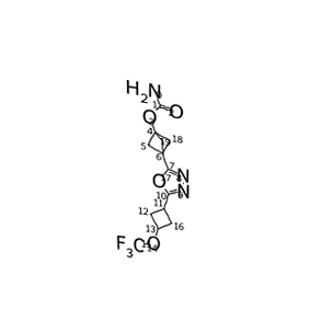 NC(=O)OC12CC(c3nnc(C4CC(OC(F)(F)F)C4)o3)(C1)C2